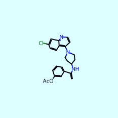 C=C(NC1CCN(c2ccnc3cc(Cl)ccc23)CC1)c1cccc(OC(C)=O)c1